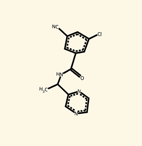 CC(NC(=O)c1cc(Cl)cc(C#N)c1)c1cnccn1